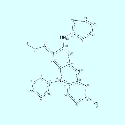 CCN=c1cc2n(-c3ccccc3)c3ccc(Cl)cc3nc-2cc1Nc1ccccc1